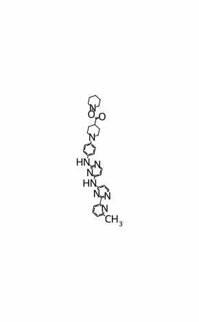 Cc1cccc(-c2nccc(Nc3ccnc(Nc4ccc(N5CCC(C(=O)ON6CCCCC6)CC5)cc4)n3)n2)n1